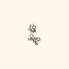 Cc1ccc(F)c(C(=O)NC[C@H]2CC[C@@H](Nc3nc(N(C)C)c4ccccc4n3)CC2)c1F